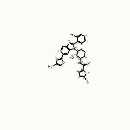 Cc1coc(-c2cc3c(cn2)nc(-c2ccccc2F)n3[C@H]2CCC[C@@H](NC(=O)c3ncc(Cl)s3)[C@@H]2O)n1